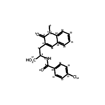 Cn1c(=O)c(CC(NC(=O)c2ccc(Cl)cc2)C(=O)O)cc2ccccc21